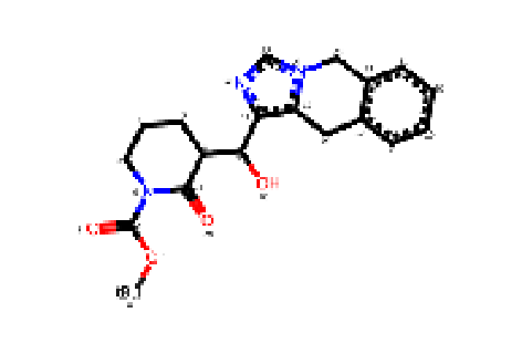 CC(C)(C)OC(=O)N1CCCC(C(O)c2ncn3c2Cc2ccccc2C3)C1=O